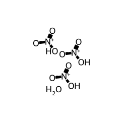 O.O=[N+]([O-])O.O=[N+]([O-])O.O=[N+]([O-])O